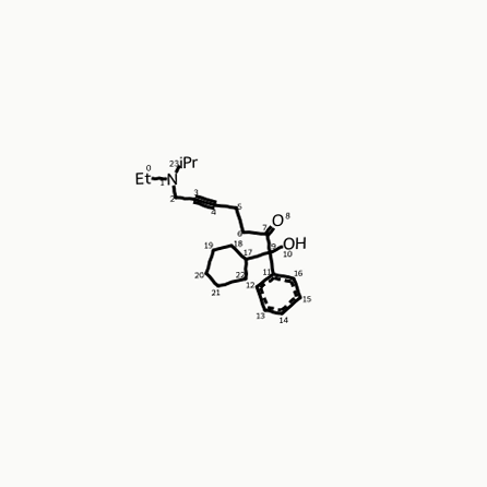 CCN(CC#CCCC(=O)C(O)(c1ccccc1)C1CCCCC1)C(C)C